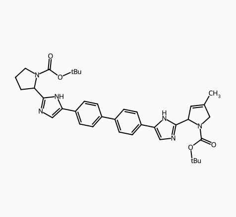 CC1=CC(c2ncc(-c3ccc(-c4ccc(-c5cnc(C6CCCN6C(=O)OC(C)(C)C)[nH]5)cc4)cc3)[nH]2)N(C(=O)OC(C)(C)C)C1